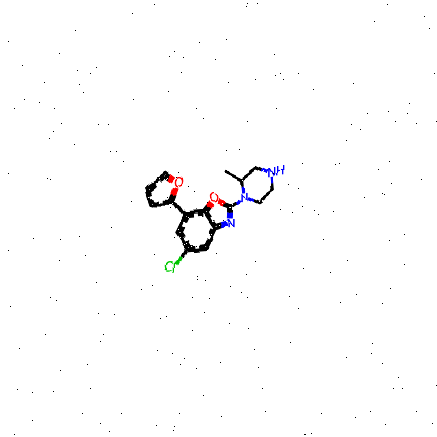 CC1CNCCN1c1nc2cc(Cl)cc(-c3ccco3)c2o1